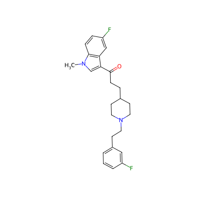 Cn1cc(C(=O)CCC2CCN(CCc3cccc(F)c3)CC2)c2cc(F)ccc21